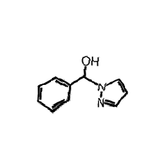 OC(c1ccccc1)n1cccn1